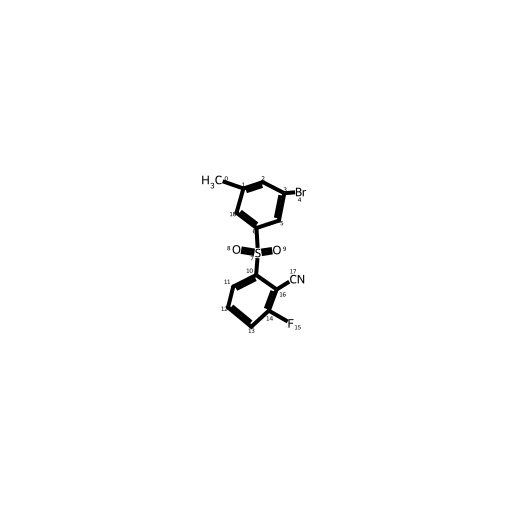 Cc1cc(Br)cc(S(=O)(=O)c2cccc(F)c2C#N)c1